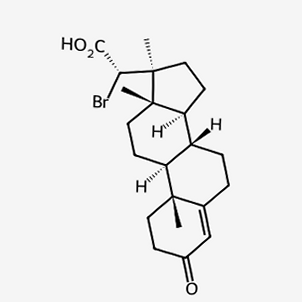 C[C@]12CCC(=O)C=C1CC[C@@H]1[C@@H]2CC[C@@]2(C)[C@H]1CC[C@]2(C)[C@H](Br)C(=O)O